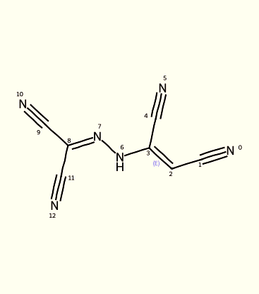 N#C/C=C(\C#N)NN=C(C#N)C#N